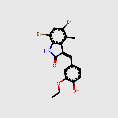 CCOc1cc(C=C2C(=O)Nc3c(Br)cc(Br)c(C)c32)ccc1O